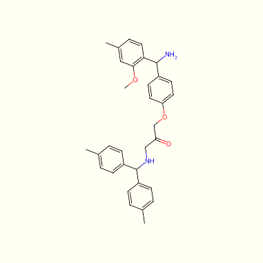 COc1cc(C)ccc1C(N)c1ccc(OCC(=O)CNC(c2ccc(C)cc2)c2ccc(C)cc2)cc1